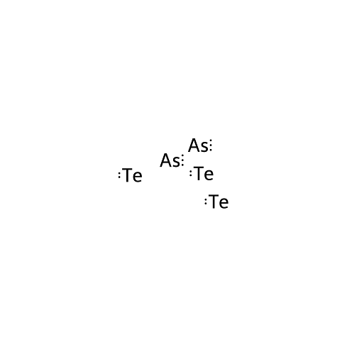 [As].[As].[Te].[Te].[Te]